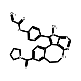 C=CC(=O)Nc1ccc(-c2c3c4c(ncnc4n2C)NCCc2cc(C(=O)N4CCCC4)ccc2-3)cc1